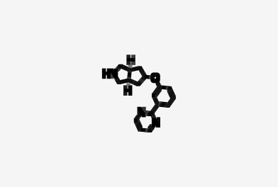 c1cnc(-c2cccc(OC3C[C@H]4CNC[C@H]4C3)c2)nc1